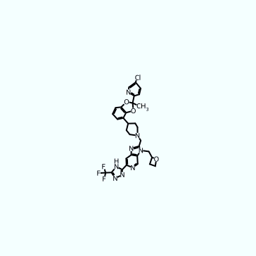 CC1(c2ccc(Cl)cn2)Oc2cccc(C3CCN(Cc4nc5cc(-c6nnc(C(F)(F)F)[nH]6)ncc5n4CC4CCO4)CC3)c2O1